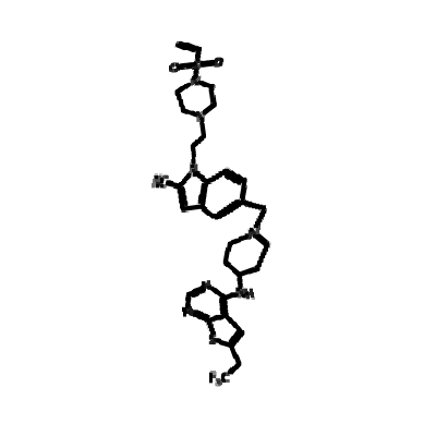 C=CS(=O)(=O)N1CCN(CCn2c(C#N)cc3cc(CN4CCC(Nc5ncnc6sc(CC(F)(F)F)cc56)CC4)ccc32)CC1